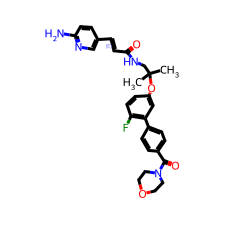 CC(C)(CNC(=O)/C=C/c1ccc(N)nc1)Oc1ccc(F)c(-c2ccc(C(=O)N3CCOCC3)cc2)c1